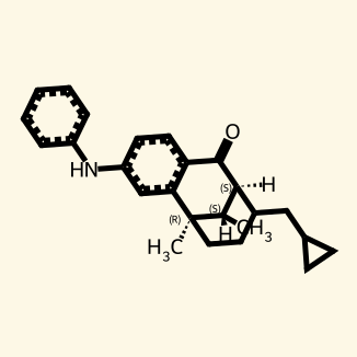 C[C@H]1[C@H]2C(=O)c3ccc(Nc4ccccc4)cc3[C@]1(C)CCC2CC1CC1